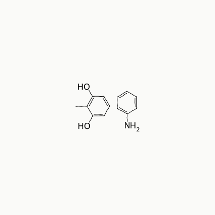 Cc1c(O)cccc1O.Nc1ccccc1